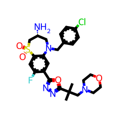 CC(C)(CN1CCOCC1)c1nnc(-c2cc3c(cc2F)S(=O)(=O)C[C@H](N)CN3Cc2ccc(Cl)cc2)o1